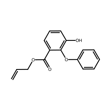 C=CCOC(=O)c1cccc(O)c1Oc1ccccc1